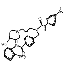 CN(C)c1ccc(NC(=O)N(CCCN2CCC(O)CC2)Cc2ccc(C(=O)Nc3ccccc3N)cc2)cc1